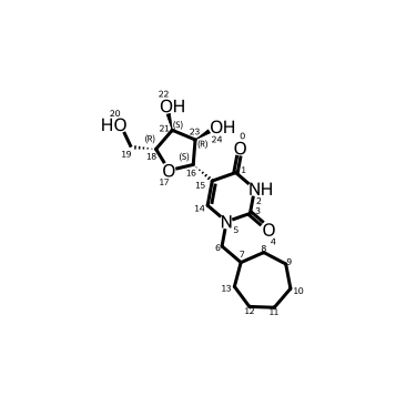 O=c1[nH]c(=O)n(CC2CCCCCC2)cc1[C@@H]1O[C@H](CO)[C@@H](O)[C@H]1O